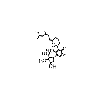 CCC(C)CC(C)CCC1CCCC(c2c(O)c(C3CC(O)C(O)C3O)cn(C)c2=O)O1